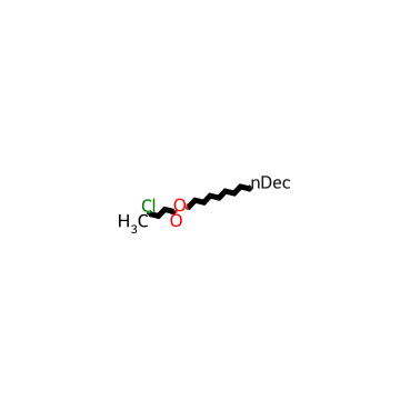 CCCCCCCCCCCCCCCCCCCOC(=O)CCC(C)Cl